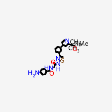 CNC(=O)C(C)(C)c1cc(-c2cccc(-c3csc(NC(=O)CNC(=O)c4ccc(N)cc4)n3)c2)ccn1